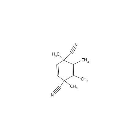 CC1=C(C)C(C)(C#N)C=CC1(C)C#N